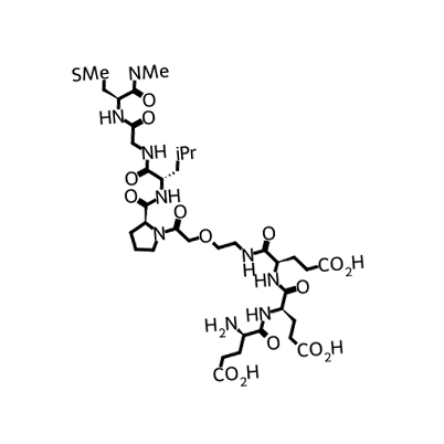 CNC(=O)[C@H](CSC)NC(=O)CNC(=O)[C@H](CC(C)C)NC(=O)[C@@H]1CCCN1C(=O)COCCNC(=O)[C@@H](CCC(=O)O)NC(=O)[C@@H](CCC(=O)O)NC(=O)[C@H](N)CCC(=O)O